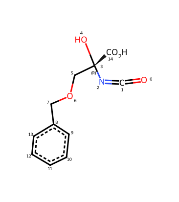 O=C=N[C@@](O)(COCc1ccccc1)C(=O)O